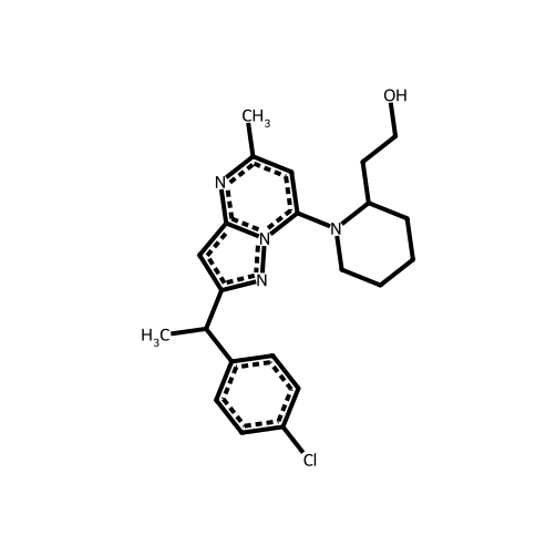 Cc1cc(N2CCCCC2CCO)n2nc(C(C)c3ccc(Cl)cc3)cc2n1